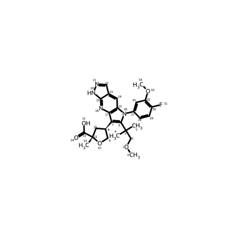 COCC(C)(C)c1c([C@H]2CO[C@](C)(C(=O)O)C2)c2nc3[nH]ncc3cc2n1-c1ccc(F)c(OC)c1